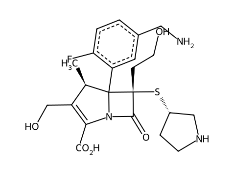 C[C@@H]1C(CO)=C(C(=O)O)N2C(=O)[C@@](CCO)(S[C@H]3CCNC3)C12c1cc(CN)ccc1F